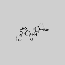 CNc1nc(Nc2cc(O)c(C(=O)N3CCOCC3)cc2Cl)ncc1C(F)(F)F